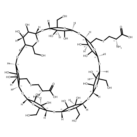 N[C@H](CSCC1O[C@@H]2O[C@@H]3C(CO)O[C@@H](O[C@@H]4C(CO)O[C@@H](O[C@H]5C(CSC[C@@H](N)C(=O)O)O[C@@H](O[C@H]6C(CO)O[C@H](O[C@@H]7C(CO)O[C@H](O[C@@H]8C(CO)O[C@H](O[C@H]1[C@H](O)C2O)C(O)[C@H]8O)C(O)[C@H]7O)C(O)[C@H]6O)C(O)[C@H]5O)C(O)[C@H]4O)C(O)[C@H]3O)C(=O)O